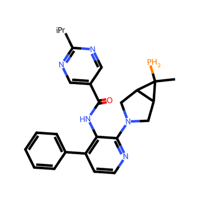 CC(C)c1ncc(C(=O)Nc2c(-c3ccccc3)ccnc2N2CC3C(C2)C3(C)P)cn1